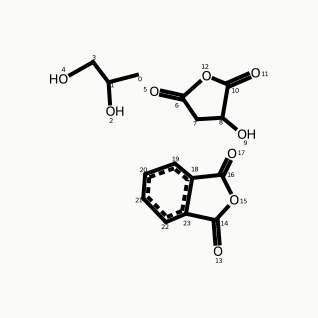 CC(O)CO.O=C1CC(O)C(=O)O1.O=C1OC(=O)c2ccccc21